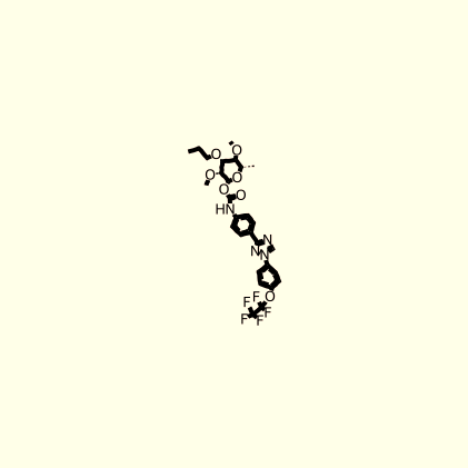 CCCO[C@@H]1C(OC)[C@H](C)OC(OC(=O)Nc2ccc(-c3ncn(-c4ccc(OC(F)(F)C(F)(F)F)cc4)n3)cc2)[C@@H]1OC